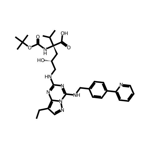 CCc1cnn2c(NCc3ccc(-c4ccccn4)cc3)nc(NC[C@H](O)C[C@](NC(=O)OC(C)(C)C)(C(=O)O)C(C)C)nc12